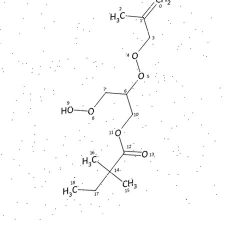 C=C(C)COOC(COO)COC(=O)C(C)(C)CC